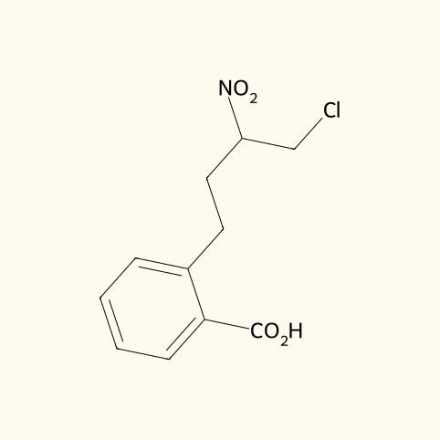 O=C(O)c1ccccc1CCC(CCl)[N+](=O)[O-]